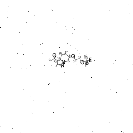 CC(=O)c1cnn2cc(OCCOC(F)(F)F)ccc12